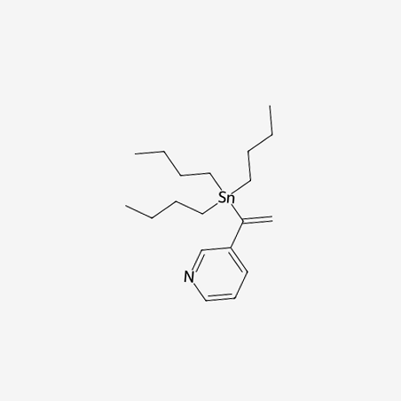 C=[C](c1cccnc1)[Sn]([CH2]CCC)([CH2]CCC)[CH2]CCC